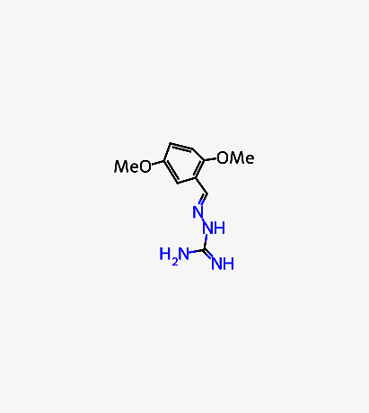 COc1ccc(OC)c(C=NNC(=N)N)c1